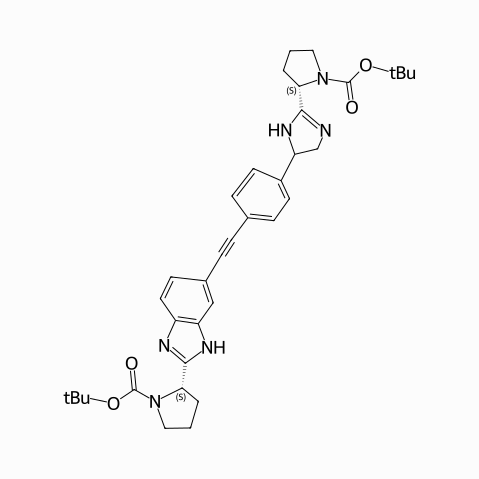 CC(C)(C)OC(=O)N1CCC[C@H]1C1=NCC(c2ccc(C#Cc3ccc4nc([C@@H]5CCCN5C(=O)OC(C)(C)C)[nH]c4c3)cc2)N1